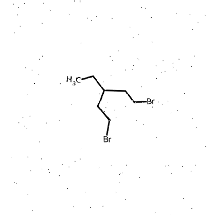 CCC(CCBr)CCBr